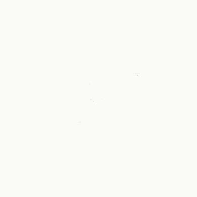 C=CC(=O)N1CCC(n2c(=O)c3cc(S(=O)(=O)NC4(C)CC4)c(Cl)cc3n(CC3CC3)c2=O)C1